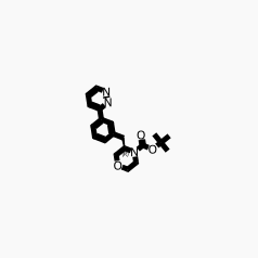 CC(C)(C)OC(=O)N1CCOC[C@H]1Cc1cccc(-c2cccnn2)c1